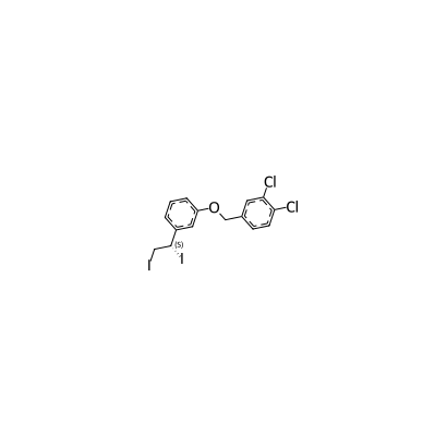 Clc1ccc(COc2cccc([C@H](I)CI)c2)cc1Cl